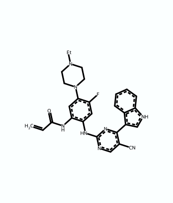 C=CC(=O)Nc1cc(N2CCN(CC)CC2)c(F)cc1Nc1ncc(C#N)c(-c2c[nH]c3ccccc23)n1